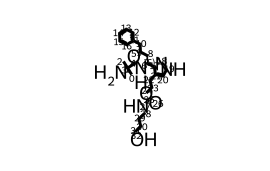 CC(C)(N)C(=O)N[C@@H](CCCc1ccccc1)c1n[nH]cc1CCOC(=O)NCCCCO